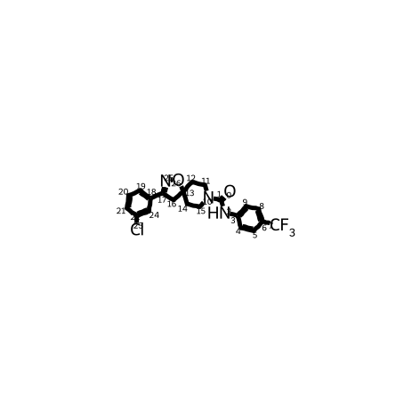 O=C(Nc1ccc(C(F)(F)F)cc1)N1CCC2(CC1)CC(c1cccc(Cl)c1)=NO2